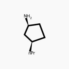 CCC[C@@H]1CC[C@H](N)C1